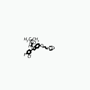 CC(C)NC(=O)Cn1c(-c2ccc(F)c(Cl)c2)cc2cc(OCCCN3CCOCC3)ccc21